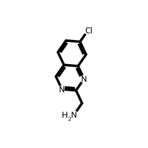 NCc1ncc2ccc(Cl)cc2n1